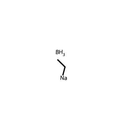 B.C[CH2][Na]